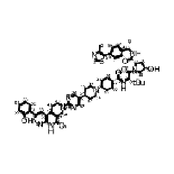 Cc1ncsc1-c1ccc([C@H](C)NC(=O)[C@@H]2C[C@@H](O)CN2C(=O)[C@@H](NC(=O)[C@H]2CC[C@@H](N3CCC(c4cnc(N5CCc6c(c(=O)[nH]c7nnc(-c8ccccc8O)cc67)C5)nc4)CC3)CC2)C(C)(C)C)cc1